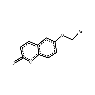 CC(=O)COc1ccc2oc(=O)ccc2c1